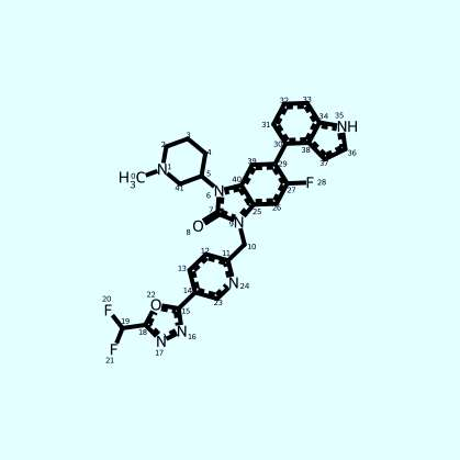 CN1CCCC(n2c(=O)n(Cc3ccc(-c4nnc(C(F)F)o4)cn3)c3cc(F)c(-c4cccc5[nH]ccc45)cc32)C1